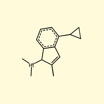 CC1=Cc2c(C3CC3)cccc2[CH]1[Hf]([CH3])[CH3]